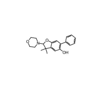 CC1(C)c2cc(O)c(-c3ccccc3)cc2OC1N1CCOCC1